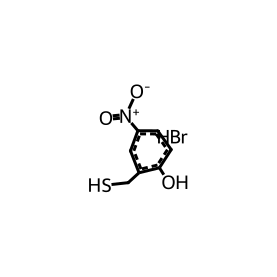 Br.O=[N+]([O-])c1ccc(O)c(CS)c1